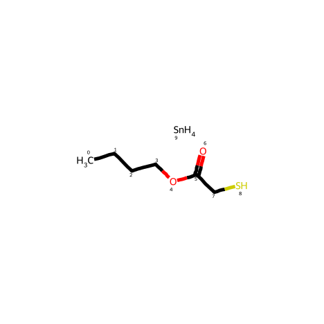 CCCCOC(=O)CS.[SnH4]